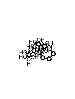 Oc1c(O)c(O)c2c(oc3c(O)c(O)c(-c4nc(-c5cccc(-c6cccc(-c7ccccc7)c6)c5)nc(-c5c(O)c(O)c(O)c6sc7c(O)c(O)c(O)c(O)c7c56)n4)c(O)c32)c1O